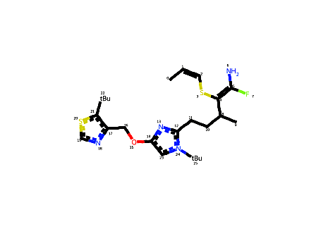 C/C=C\S/C(=C(\N)F)C(C)CCc1nc(OCc2ncsc2C(C)(C)C)cn1C(C)(C)C